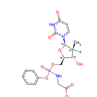 CCCOC(=O)CNP(=O)(OC[C@H]1O[C@@H](n2ccc(=O)[nH]c2=O)[C@](C)(F)[C@@H]1O)Oc1ccccc1